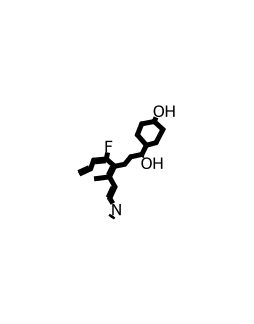 C=C\C=C(F)/C(CC[C@@H](O)C1CCC(O)CC1)=C(C)/C=C/N=C